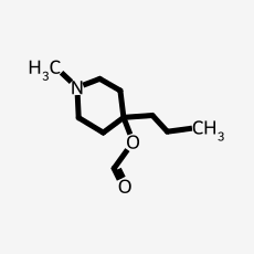 CCCC1(OC=O)CCN(C)CC1